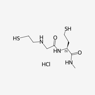 CNC(=O)[C@H](CCS)NC(=O)CNCCS.Cl